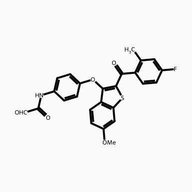 COc1ccc2c(Oc3ccc(NC(=O)C=O)cc3)c(C(=O)c3ccc(F)cc3C)sc2c1